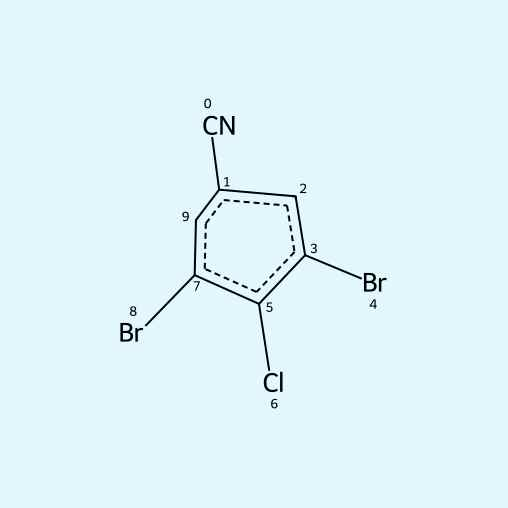 N#Cc1cc(Br)c(Cl)c(Br)c1